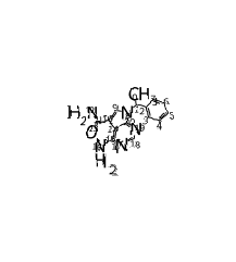 CC(c1ccccc1)n1cc(C(N)=O)c2c(N)ncnc21